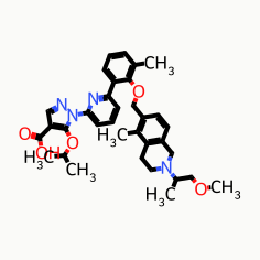 COCC(C)N1CCc2c(ccc(COc3c(C)cccc3-c3cccc(-n4ncc(C(=O)O)c4OC(C)C)n3)c2C)C1